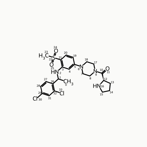 CC(Nc1cc(N2CCN(C(=O)[C@H]3CCCN3)CC2)ccc1S(C)(=O)=O)c1ccc(Cl)cc1Cl